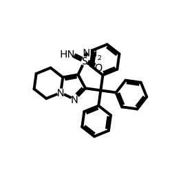 N=S(N)(=O)c1c(C(c2ccccc2)(c2ccccc2)c2ccccc2)nn2c1CCCC2